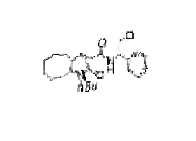 CCCCn1c2c(cc(C(=O)N[C@H](CCl)c3ccccc3)c1=O)CCCCCC2